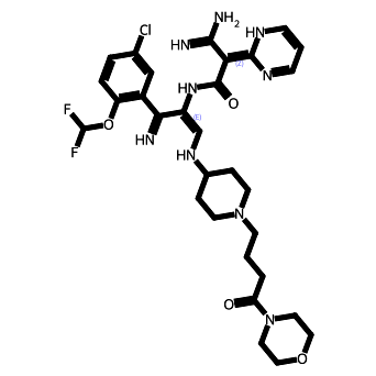 N=C(N)/C(C(=O)N/C(=C/NC1CCN(CCCC(=O)N2CCOCC2)CC1)C(=N)c1cc(Cl)ccc1OC(F)F)=C1/N=CC=CN1